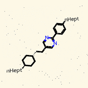 CCCCCCCc1ccc(-c2ncc(CC[C@H]3CC[C@H](CCCCCCC)CC3)cn2)cc1